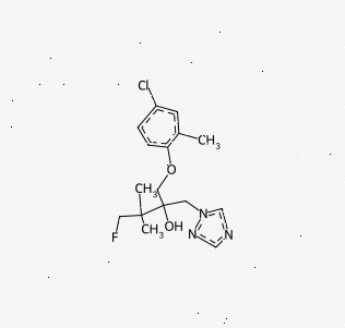 Cc1cc(Cl)ccc1OCC(O)(Cn1cncn1)C(C)(C)CF